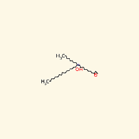 CCCCCCCCCCCCCCCC(O)/C(=C\CCCCCCCC1CCO1)CCCCCCCC